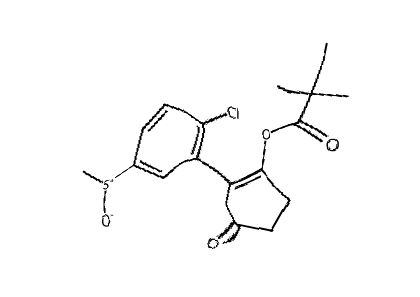 C[S+]([O-])c1ccc(Cl)c(C2=C(OC(=O)C(C)(C)C)CCC2=O)c1